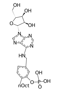 CCCCCCCCc1ccc(CNc2ncnc3c2ncn3[C@@H]2O[C@H](CO)[C@@H](O)[C@H]2O)cc1OP(=O)(O)O